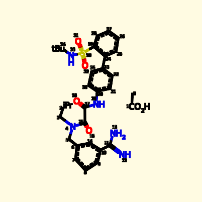 CC(=O)O.CC(C)CN(Cc1cccc(C(=N)N)c1)C(=O)C(=O)Nc1ccc(-c2ccccc2S(=O)(=O)NC(C)(C)C)cc1